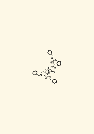 O=C(NC(C(=O)NC1C(=O)N2C(C(=O)OCc3ccccc3)C3(CCN(Cc4ccccc4)CC3)S[C@@H]12)c1ccccc1)OCc1ccccc1